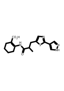 CC(Cc1cnc(-c2cn[nH]c2)s1)C(=O)NC1=C(C(=O)O)CCCC1